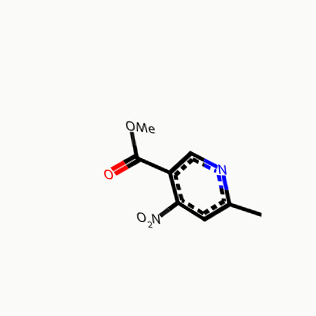 COC(=O)c1cnc(C)cc1[N+](=O)[O-]